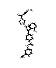 CC#CC(=O)N1CC[C@@H](n2nc(-c3ccc(C(=O)Nc4cc(C#N)ccn4)cc3)c3c(N)ncnc32)C1